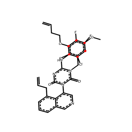 C=CCCOc1cc(OC)cc(Cl)c1Nc1nc(=O)n(-c2cncc3cccc(CC=C)c23)c(=O)n1Cc1cc(F)c(F)cc1F